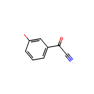 N#CC(=O)c1cccc(O)c1